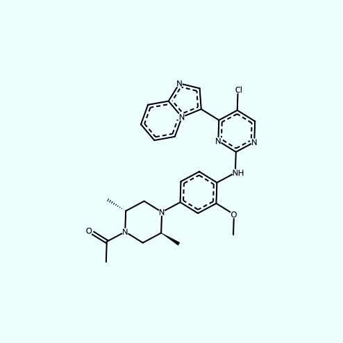 COc1cc(N2C[C@@H](C)N(C(C)=O)C[C@@H]2C)ccc1Nc1ncc(Cl)c(-c2cnc3ccccn23)n1